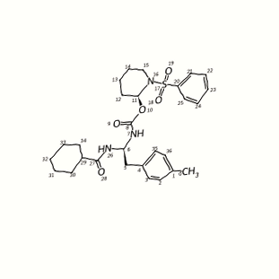 Cc1ccc(C[C@H](NC(=O)O[C@H]2CCCCN2S(=O)(=O)c2ccccc2)NC(=O)C2CCCCC2)cc1